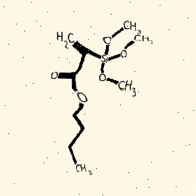 C=C(C(=O)OCCCC)[Si](OC)(OC)OC